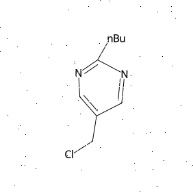 CCCCc1ncc(CCl)cn1